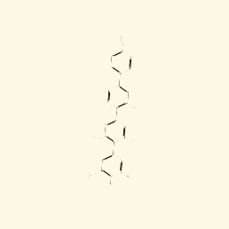 CCc1ccc(-c2ccc(-c3cc(F)c(-c4cc(F)c(F)c(F)c4)c(F)c3)c(F)c2)cc1